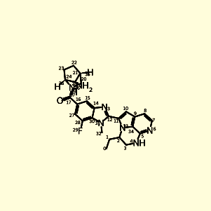 CCC1CNc2nccc3cc(-c4nc5cc(C(=O)N6C[C@H]7CC[C@@H]6[C@@H]7N)cc(F)c5n4C)n1c23